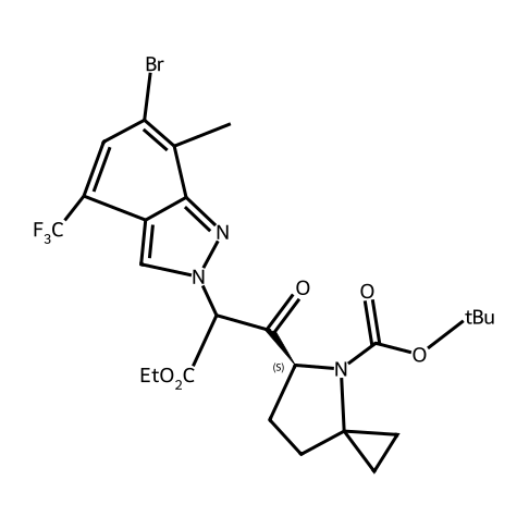 CCOC(=O)C(C(=O)[C@@H]1CCC2(CC2)N1C(=O)OC(C)(C)C)n1cc2c(C(F)(F)F)cc(Br)c(C)c2n1